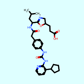 CC(C)CC(NC(=O)Cc1ccc(NC(=O)Nc2ncccc2C2CCCC2)cc1)C1=NCC(CCC(=O)O)O1